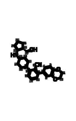 N#Cc1c(-c2ccc3c(c2)OCCO3)cccc1N1CCC(N[C@@H]2CCC[C@@H]2CO)CC1